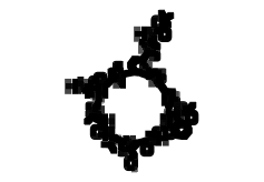 CNC(=O)C[C@@H]1NC(=O)c2csc(n2)-c2ccc(-c3nc(NC(=O)OC(C)(C)C)cs3)nc2-c2csc(n2)-c2csc(n2)[C@H]([C@@H](OC(C)=O)c2ccccc2)NC(=O)CNC(=O)c2nc(sc2COC)[C@@H](C(C)C)NC(=O)c2nc1sc2C